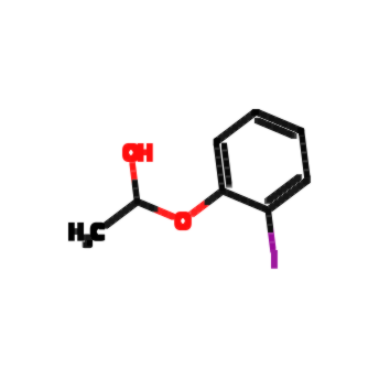 CC(O)Oc1ccccc1I